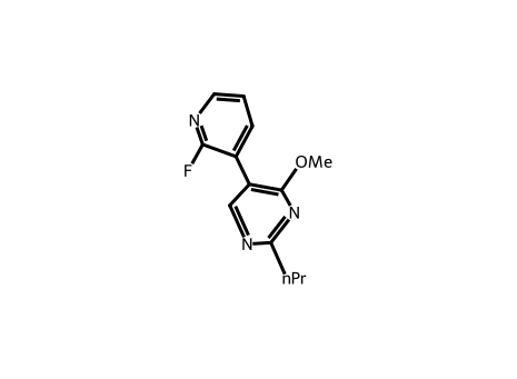 CCCc1ncc(-c2cccnc2F)c(OC)n1